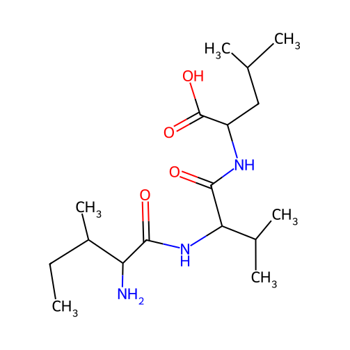 CCC(C)C(N)C(=O)NC(C(=O)NC(CC(C)C)C(=O)O)C(C)C